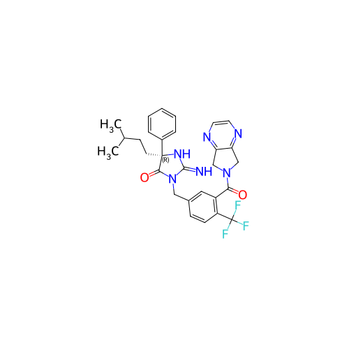 CC(C)CC[C@]1(c2ccccc2)NC(=N)N(Cc2ccc(C(F)(F)F)c(C(=O)N3Cc4nccnc4C3)c2)C1=O